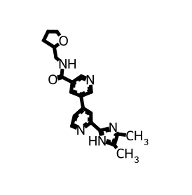 Cc1nc(-c2cc(-c3cncc(C(=O)NCC4CCCO4)c3)ccn2)[nH]c1C